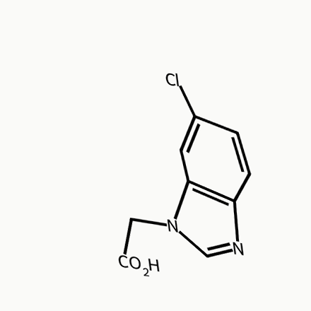 O=C(O)Cn1cnc2ccc(Cl)cc21